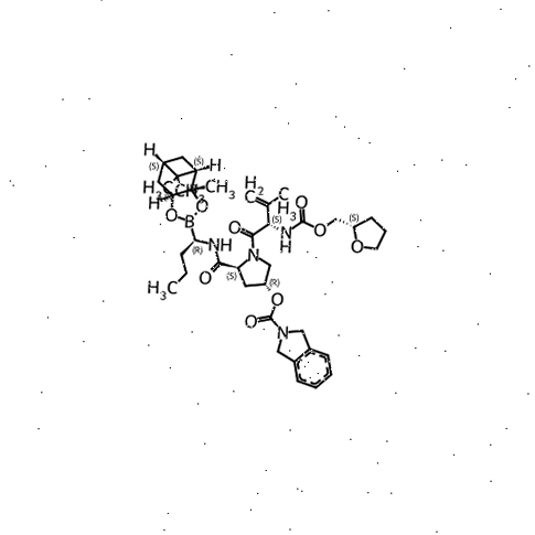 C=C(C)[C@H](NC(=O)OC[C@@H]1CCCO1)C(=O)N1C[C@H](OC(=O)N2Cc3ccccc3C2)C[C@H]1C(=O)N[C@@H](CCC)B1O[C@@H]2C[C@@H]3C[C@@H](C3(C)C)[C@]2(C)O1